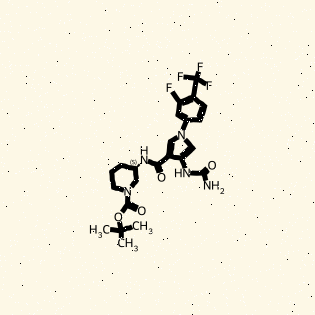 CC(C)(C)OC(=O)N1CCC[C@H](NC(=O)c2cn(-c3ccc(C(F)(F)F)c(F)c3)cc2NC(N)=O)C1